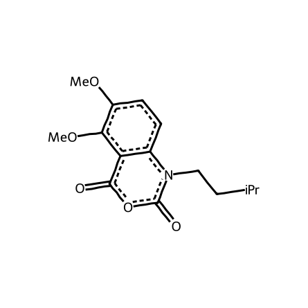 COc1ccc2c(c1OC)c(=O)oc(=O)n2CCC(C)C